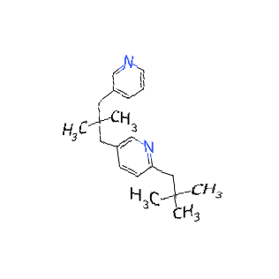 CC(C)(C)Cc1ccc(CC(C)(C)Cc2cccnc2)cn1